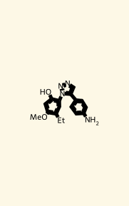 CCc1cc(-n2nncc2-c2ccc(N)cc2)c(O)cc1OC